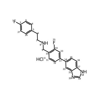 Cl.Fc1ccc(CCNCc2ccc(-c3ccc4[nH]cnc4c3)cc2F)cc1